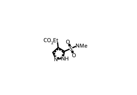 CCOC(=O)c1cn[nH]c1S(=O)(=O)NC